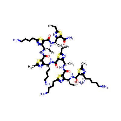 Cc1nc([C@H](CCCCN)NC(=O)c2sc(CC(C)C)nc2[C@H](C)NC(=O)c2sc(CCCCN)nc2[C@H](CC(C)C)NC(O)c2sc(C)nc2[C@@H](N)CCCCN)c(C(=O)N[C@@H](CC(C)C)c2nc(CCCCN)sc2C(=O)N[C@@H](C)c2nc(CC(C)C)sc2C(N)=O)s1